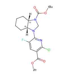 CC(C)OC(=O)c1cc(F)c(N2CN(C(=O)OC(C)(C)C)[C@H]3CCCC[C@H]32)nc1Cl